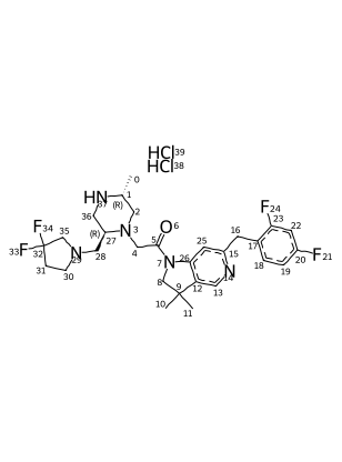 C[C@@H]1CN(CC(=O)N2CC(C)(C)c3cnc(Cc4ccc(F)cc4F)cc32)[C@@H](CN2CCC(F)(F)C2)CN1.Cl.Cl